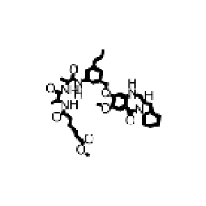 CCCc1cc(COc2cc3c(cc2OC)C(=O)N2c4ccccc4C[C@H]2CN3)cc(NC(=O)C(C)NC(=O)C(C)NC(=O)CCCCC(=O)OC)c1